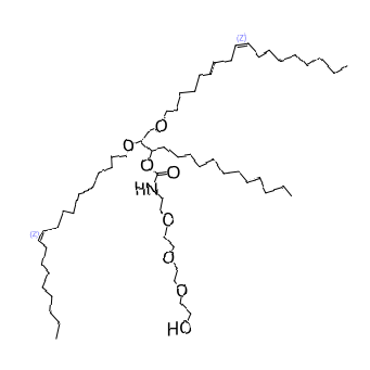 CCCCCCCC/C=C\CCCCCCCCCOC(COCCCCCCCC/C=C\CCCCCCCC)C(CCCCCCCCCCCC)OC(=O)NCCOCCOCCOCCO